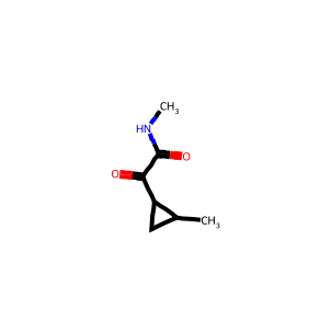 CNC(=O)C(=O)C1CC1C